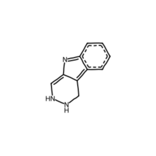 C1=C2N=c3ccccc3=C2CNN1